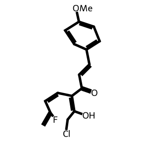 C=C(F)/C=C\C(C(=O)/C=C/c1ccc(OC)cc1)=C(\O)CCl